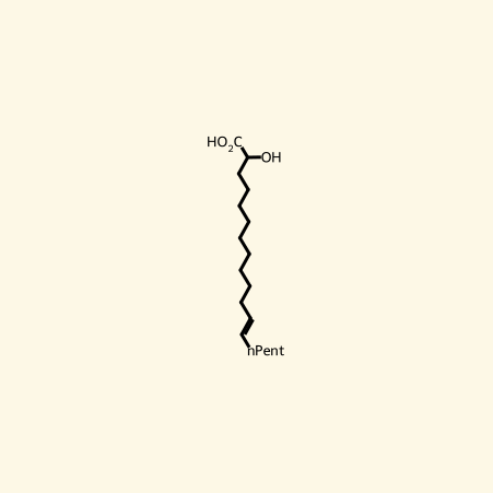 CCCCC/C=C/CCCCCCCCCC(O)C(=O)O